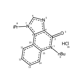 CCCCn1c(=O)c2ncn(C(C)C)c2c2ccccc21.Cl